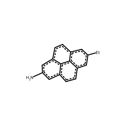 CCc1cc2ccc3cc(N)cc4ccc(c1)c2c34